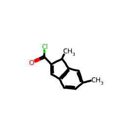 Cc1ccc2c(c1)C(C)C(C(=O)Cl)=C2